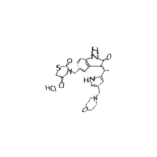 CC(=C1C(=O)Nc2ccc(CN3C(=O)CSC3=O)cc21)c1cc(CN2CCOCC2)c[nH]1.Cl